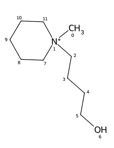 C[N+]1(CCCCO)CCCCC1